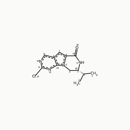 CC(C)[C@@H]1Cn2c(cc3cnc(Cl)nc32)C(=O)N1